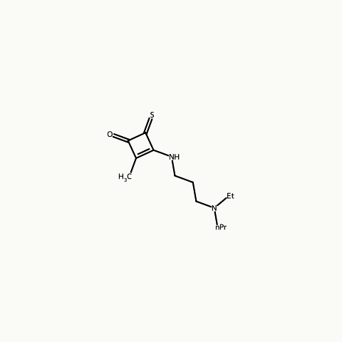 CCCN(CC)CCCNc1c(C)c(=O)c1=S